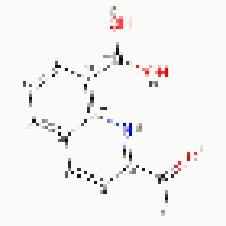 CC(=O)c1ccc2cccc(B(O)O)c2n1